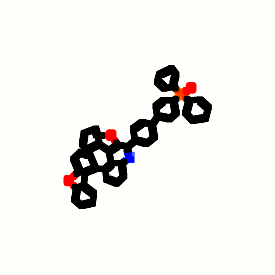 O=P(c1ccccc1)(c1ccccc1)c1ccc(-c2ccc(-c3nc4cccc(-c5cccc6oc7ccccc7c56)c4c4c3oc3ccccc34)cc2)cc1